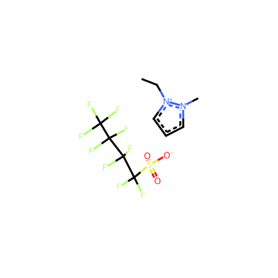 CC[n+]1cccn1C.O=S(=O)([O-])C(F)(F)C(F)(F)C(F)(F)C(F)(F)F